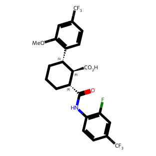 COc1cc(C(F)(F)F)ccc1[C@H]1CCC[C@@H](C(=O)Nc2ccc(C(F)(F)F)cc2F)[C@@H]1C(=O)O